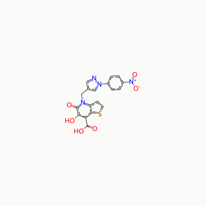 O=C(O)c1c(O)c(=O)n(Cc2cnn(-c3ccc([N+](=O)[O-])cc3)c2)c2ccsc12